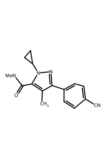 CNC(=O)c1c(C)c(-c2ccc(C#N)cc2)nn1C1CC1